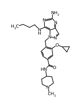 CCCCNc1nc(N)nc2cnn(Cc3ccc(C(=O)NC4CCN(C)CC4)cc3OC3CC3)c12